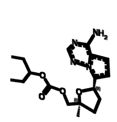 CCC(CC)OC(=O)OC[C@]1(C)CC[C@H](c2ccc3c(N)ncnn23)O1